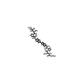 COC(=O)N[C@H](C(=O)N1CCC[C@H]1C(=O)Nc1cc2sc(-c3cc4sc(NC(=O)[C@@H]5CCCN5C(=O)[C@@H](NC(=O)CO)C(C)C)cc4s3)cc2s1)C(C)C